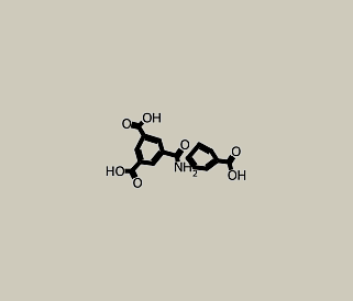 NC(=O)c1cc(C(=O)O)cc(C(=O)O)c1.O=C(O)c1ccccc1